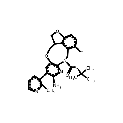 Cc1ncccc1-c1cc2c(nc1N)N(C(=O)OC(C)(C)C)Cc1c(F)ccc3c1C(CO2)CO3